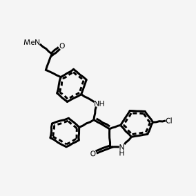 CNC(=O)Cc1ccc(NC(=C2C(=O)Nc3cc(Cl)ccc32)c2ccccc2)cc1